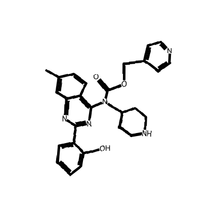 Cc1ccc2c(N(C(=O)OCc3ccncc3)C3CCNCC3)nc(-c3ccccc3O)nc2c1